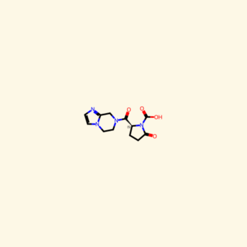 O=C([C@@H]1CCC(=O)N1C(=O)O)N1CCn2ccnc2C1